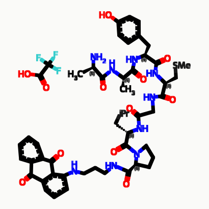 CSC[C@H](NC(=O)[C@H](Cc1ccc(O)cc1)NC(=O)[C@H](C)NC(=O)[C@@H](C)N)C(=O)NCC(=O)N[C@@H](CC(C)C)C(=O)N1CCC[C@H]1C(=O)NCCCNc1cccc2c1C(=O)c1ccccc1C2=O.O=C(O)C(F)(F)F